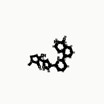 CN1CCC(O)(c2cc(-c3cccc(-c4cccc5c(=O)[nH]ccc45)n3)no2)C1=O